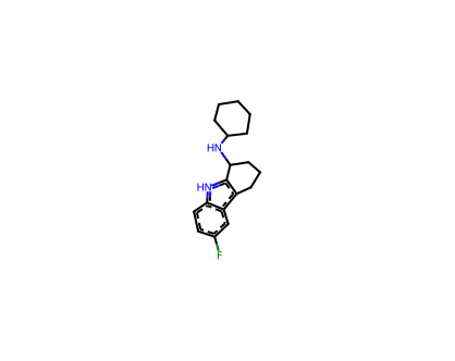 Fc1ccc2[nH]c3c(c2c1)CCCC3NC1CCCCC1